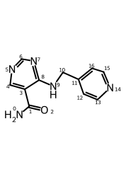 NC(=O)c1cncnc1NCc1ccncc1